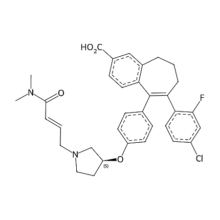 CN(C)C(=O)C=CCN1CC[C@H](Oc2ccc(C3=C(c4ccc(Cl)cc4F)CCCc4cc(C(=O)O)ccc43)cc2)C1